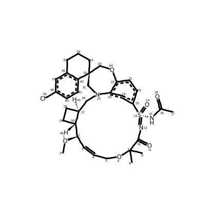 CO[C@@H]1C=CCOC(C)(C)C(=O)N=[S@@](=O)(NC(C)=O)c2ccc3c(c2)N(C[C@@H]2CC[C@H]21)C[C@@]1(CCCc2cc(Cl)ccc21)CO3